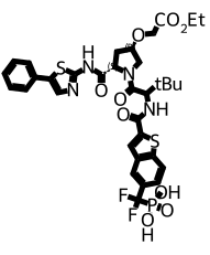 CCOC(=O)CO[C@@H]1C[C@@H](C(=O)Nc2ncc(-c3ccccc3)s2)N(C(=O)C(NC(=O)c2cc3cc(C(F)(F)P(=O)(O)O)ccc3s2)C(C)(C)C)C1